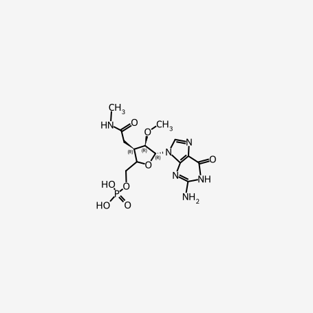 CNC(=O)C[C@@H]1C(COP(=O)(O)O)O[C@@H](n2cnc3c(=O)[nH]c(N)nc32)[C@@H]1OC